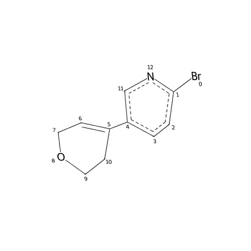 Brc1ccc(C2=CCOCC2)cn1